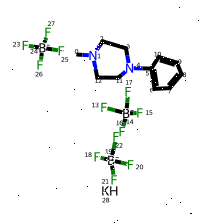 CN1CCN(c2ccccc2)CC1.F[B-](F)(F)F.F[B-](F)(F)F.F[B-](F)(F)F.[KH]